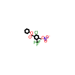 O=C(Oc1ccccc1)c1cc(C(F)(F)F)c(CO[N+](=O)[O-])cc1Cl